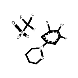 Fc1cc([C+]2CCCCS2)cc(F)c1Br.O=S(=O)([O-])C(F)(F)F